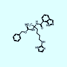 O=C(NC(CCCCNc1ncc[nH]1)(NC(=O)c1cccc2cn[nH]c12)C(=O)O)OCc1ccccc1